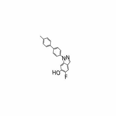 Cc1ccc(-c2ccc(-n3ncc4cc(F)c(O)cc43)cc2)cc1